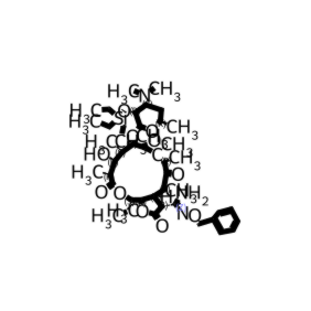 CC[C@@H]1OC(=O)[C@H](C)[C@H](O)[C@H](C)[C@@H](OC2O[C@H](C)C[C@H](N(C)C)[C@H]2O[Si](CC)(CC)CC)C(C)(OC)C[C@@H](C)C(=O)[C@H](C)[C@H]2[C@H](/C(N)=N/OCc3ccccc3)C(=O)O[C@]21C